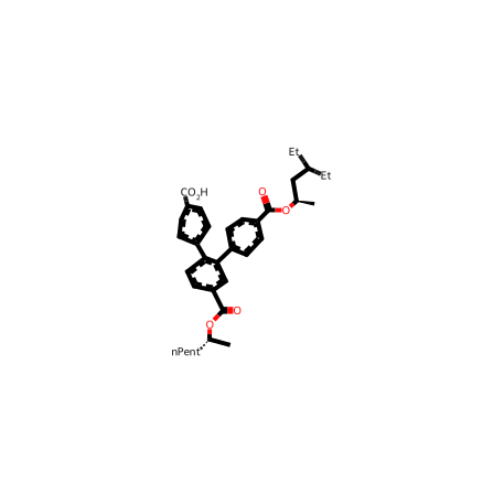 CCCCC[C@@H](C)OC(=O)c1ccc(-c2ccc(C(=O)O)cc2)c(-c2ccc(C(=O)O[C@H](C)CC(CC)CC)cc2)c1